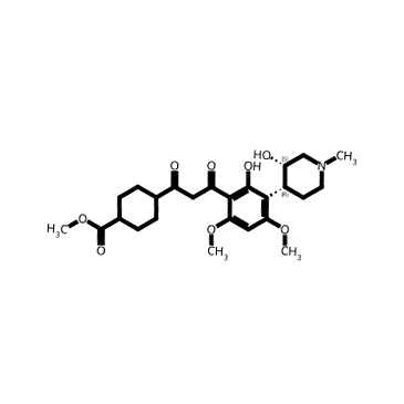 COC(=O)C1CCC(C(=O)CC(=O)c2c(OC)cc(OC)c([C@H]3CCN(C)C[C@H]3O)c2O)CC1